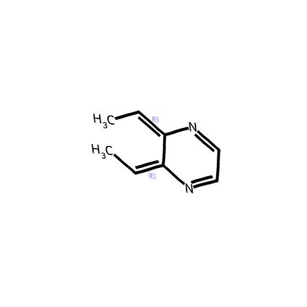 C/C=c1/nccn/c1=C/C